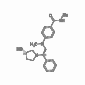 CCC(C)NC(=O)c1ccc(N(C)C[C@@H](c2ccccc2)N2CC[C@H](O)C2)cc1